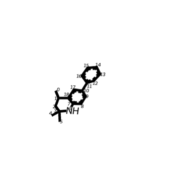 CC1CC(C)(C)Nc2ccc(-c3ccccc3)cc21